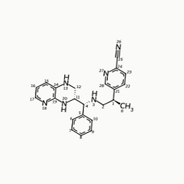 C[C@@H](CN[C@H](c1ccccc1)[C@H]1CNc2cccnc2N1)c1ccc(C#N)nc1